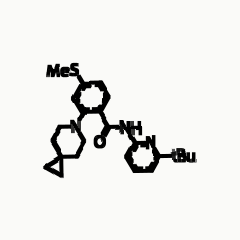 CSc1ccc(C(=O)Nc2cccc(C(C)(C)C)n2)c(N2CCC3(CC2)CC3)c1